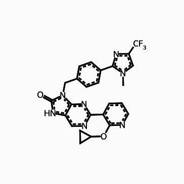 Cn1cc(C(F)(F)F)nc1-c1ccc(Cn2c(=O)[nH]c3cnc(-c4cccnc4OC4CC4)nc32)cc1